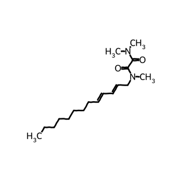 CCCCCCCCC=CC=CCN(C)C(=O)C(=O)N(C)C